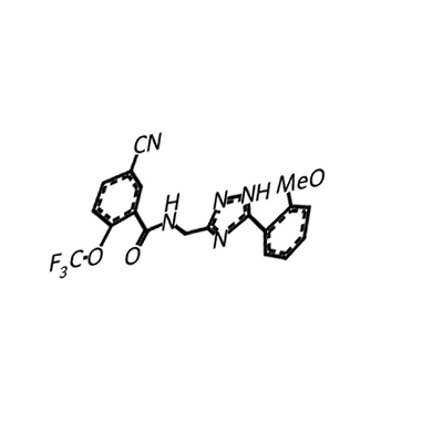 COc1ccccc1-c1nc(CNC(=O)c2cc(C#N)ccc2OC(F)(F)F)n[nH]1